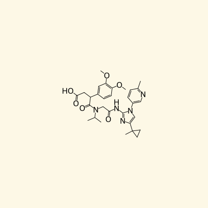 COc1ccc(C(CC(=O)O)C(=O)N(CC(=O)Nc2nc(C3(C)CC3)cn2-c2ccc(C)nc2)C(C)C)cc1OC